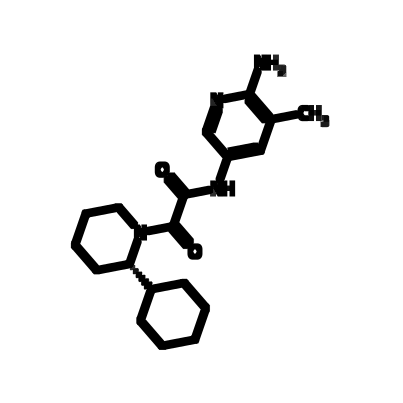 Cc1cc(NC(=O)C(=O)N2CCCC[C@H]2C2CCCCC2)cnc1N